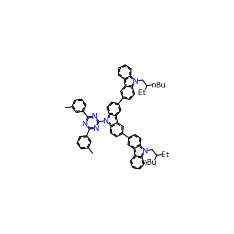 CCCCC(CC)Cn1c2ccccc2c2cc(-c3ccc4c(c3)c3cc(-c5ccc6c(c5)c5ccccc5n6CC(CC)CCCC)ccc3n4-c3nc(-c4cccc(C)c4)nc(-c4cccc(C)c4)n3)ccc21